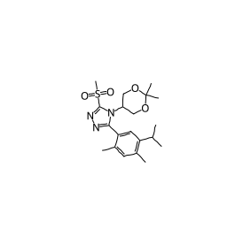 Cc1cc(C)c(C(C)C)cc1-c1nnc(S(C)(=O)=O)n1C1COC(C)(C)OC1